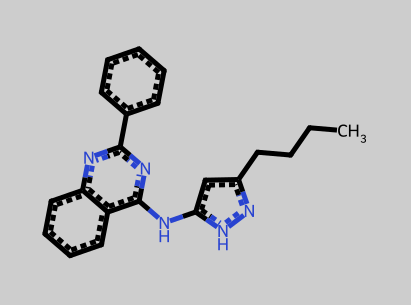 CCCCc1cc(Nc2nc(-c3ccccc3)nc3ccccc23)[nH]n1